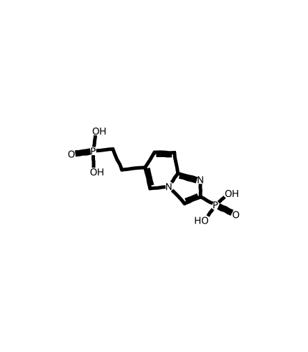 O=P(O)(O)CCc1ccc2nc(P(=O)(O)O)cn2c1